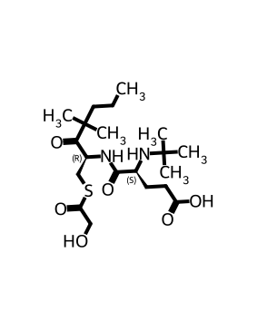 CCCC(C)(C)C(=O)[C@H](CSC(=O)CO)NC(=O)[C@H](CCC(=O)O)NC(C)(C)C